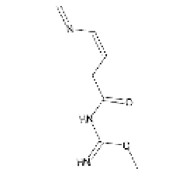 C=N/C=C\CC(=O)NC(=N)OC